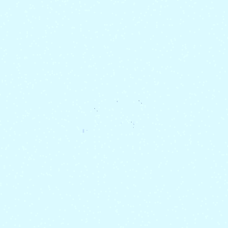 CC(C)c1cc2ncncc2cn1